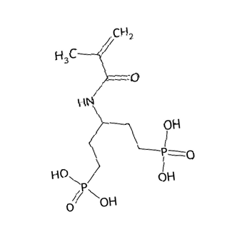 C=C(C)C(=O)NC(CCP(=O)(O)O)CCP(=O)(O)O